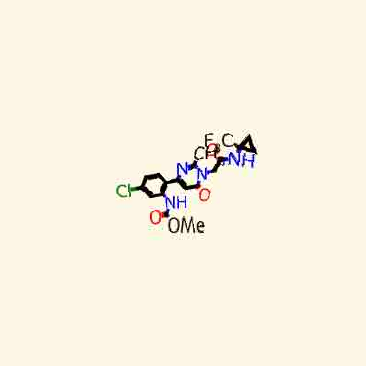 COC(=O)Nc1cc(Cl)ccc1-c1cc(=O)n(CC(=O)NC2(C(F)(F)F)CC2)c(C)n1